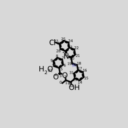 CC(OC(=O)c1ccccc1)[C@H](O)c1cccc(/C=C/c2ccc3ccc(Cl)cc3n2)c1.O